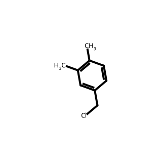 Cc1ccc(CCl)cc1C